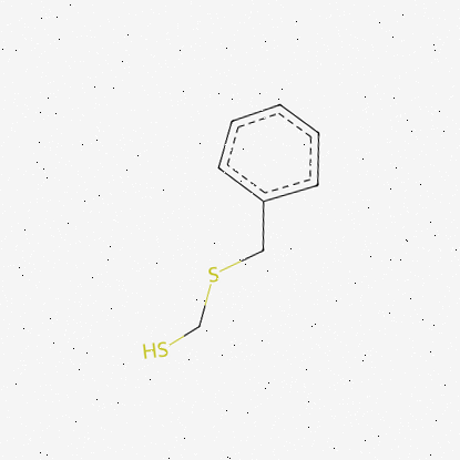 SCSCc1ccccc1